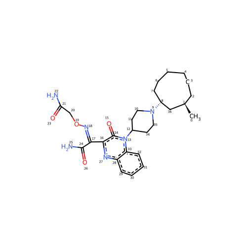 C[C@@H]1CCCCCC[C@@H](N2CCC(n3c(=O)c(/C(=N/OCC(N)=O)C(N)=O)nc4ccccc43)CC2)C1